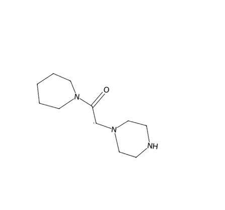 O=C([CH]N1CCNCC1)N1CCCCC1